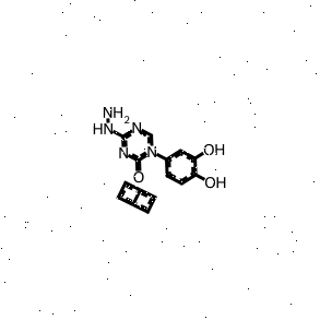 NNc1ncn(-c2ccc(O)c(O)c2)c(=O)n1.c1cc2ccc1-2